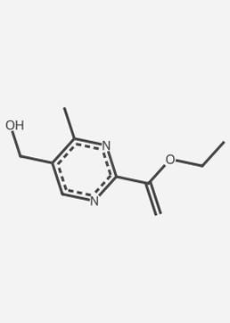 C=C(OCC)c1ncc(CO)c(C)n1